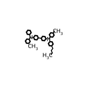 CCCCc1ccc(N(c2ccc(C)cc2)c2ccc(-c3ccc(N(c4ccccc4)c4cccc(C)c4)cc3)cc2)cc1